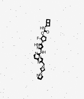 O=C(NC1CC2CCC21)O[C@H]1CC[C@@H](c2cc(Nc3nccc4nc(CN5CC(n6cccn6)C5)cn34)n[nH]2)[C@@H]1F